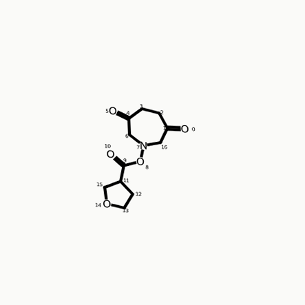 O=C1CCC(=O)CN(OC(=O)C2CCOC2)C1